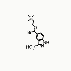 C[Si](C)(C)CCOC(Br)c1ccc2[nH]nc(C(=O)O)c2c1